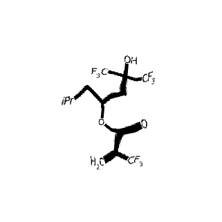 C=C(C(=O)OC(CC(C)C)CC(O)(C(F)(F)F)C(F)(F)F)C(F)(F)F